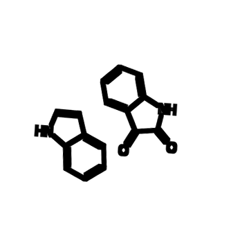 O=C1Nc2ccccc2C1=O.c1ccc2[nH]ccc2c1